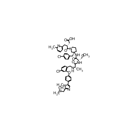 COC[C@H](NC(=O)[C@H](C)NCc1ccc(Cl)cc1Oc1ccc(-c2cnc(CN(C)C)n2C)cc1)C(=O)N[C@@]1(Cc2ccc(Cl)cc2)CCCN(C(=O)[C@@H](CC(=O)O)Cc2cccc(C)n2)C1